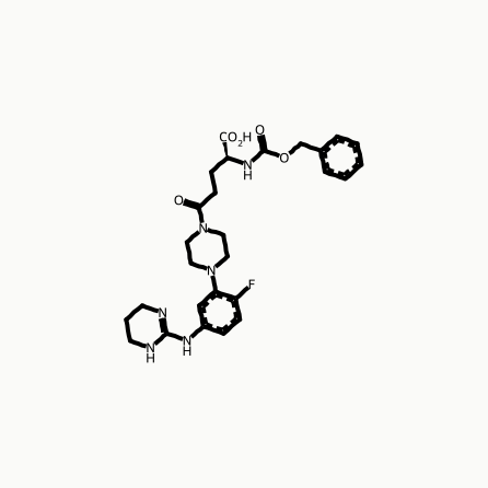 O=C(N[C@@H](CCC(=O)N1CCN(c2cc(NC3=NCCCN3)ccc2F)CC1)C(=O)O)OCc1ccccc1